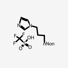 CCCCCCCCCCCCn1ccnc1.O=S(=O)(O)C(F)(F)F